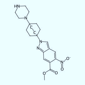 COC(=O)c1cc2nn(C34CCC(N5CCNCC5)(CC3)CC4)cc2cc1[N+](=O)[O-]